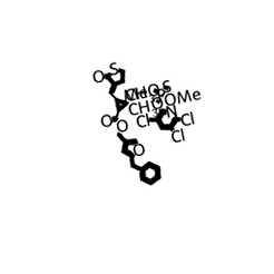 CC1(C)[C@H](/C=C2\CCSC2=O)[C@@H]1C(=O)OCc1coc(Cc2ccccc2)c1.COP(=S)(OC)Oc1nc(Cl)c(Cl)cc1Cl